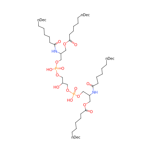 CCCCCCCCCCCCCCCC(=O)NC(COC(=O)CCCCCCCCCCCCCCC)COP(=O)(O)OCC(O)COP(=O)(O)OCC(COC(=O)CCCCCCCCCCCCCCC)NC(=O)CCCCCCCCCCCCCCC